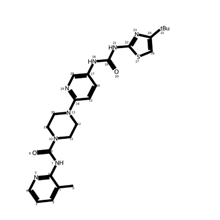 Cc1cccnc1NC(=O)N1CCN(c2ccc(NC(=O)Nc3nc(C(C)(C)C)cs3)cn2)CC1